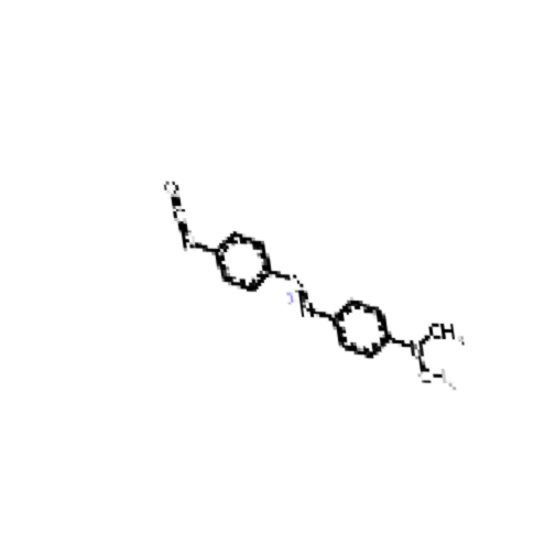 CN(C)c1ccc(/N=N/c2ccc(N=C=O)cc2)cc1